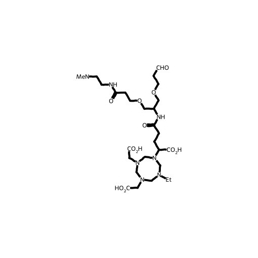 CCN1CN(CC(=O)O)CN(CC(=O)O)CN(C(CCC(=O)NC(COCCC=O)COCCC(=O)NCCNC)C(=O)O)C1